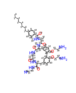 CCCCCCCCc1ccc(C(=O)N[C@@H](C)C(=O)N(C)[C@@H]2C(=O)N[C@@H](C)C(=O)N[C@H](C(=O)NCC#N)Cc3ccc(OCCN)c(c3)-c3cc2ccc3OCCN)c(C)c1